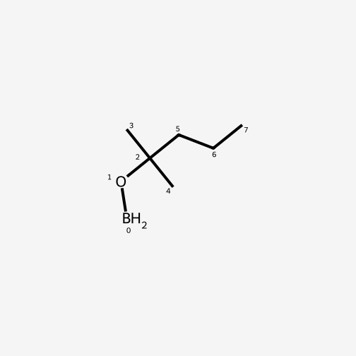 BOC(C)(C)CCC